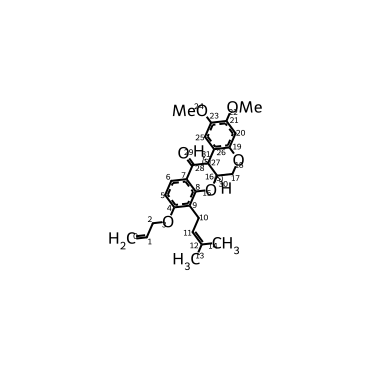 C=CCOc1ccc2c(c1CC=C(C)C)O[C@@H]1COc3cc(OC)c(OC)cc3[C@@H]1C2=O